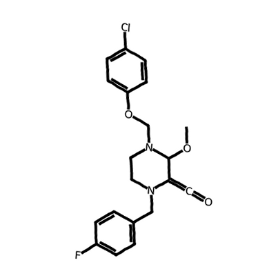 COC1C(=C=O)N(Cc2ccc(F)cc2)CCN1COc1ccc(Cl)cc1